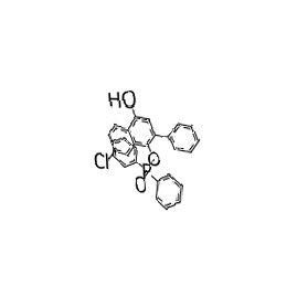 O=P(Oc1c(-c2ccccc2)cc(O)c2ccc(Cl)cc12)(c1ccccc1)c1ccccc1